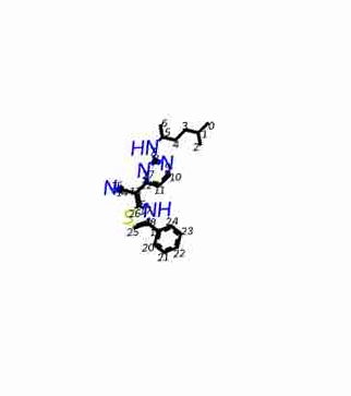 CC(C)CCC(C)Nc1nccc(C(C#N)=C2NC(c3ccccc3)=CS2)n1